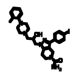 Cc1ccccc1N1CCN(CC(O)Cn2nc(-c3ccc(I)cc3)c3c2CCN(C(N)=O)C3)CC1